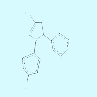 NC1=NN(c2ccc(Cl)cc2)C(c2ccccc2)C1